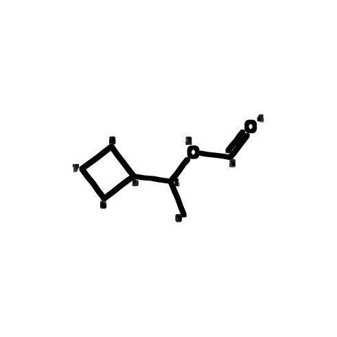 CC(OC=O)C1CCC1